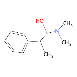 CC(c1ccccc1)C(O)N(C)C